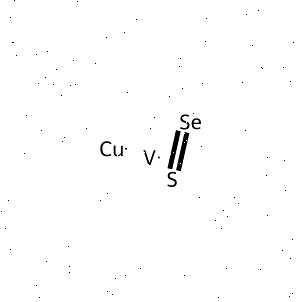 S=[Se].[Cu].[V]